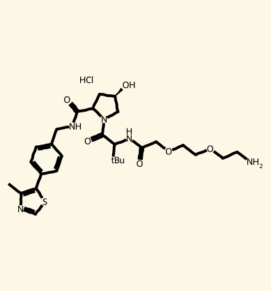 Cc1ncsc1-c1ccc(CNC(=O)C2C[C@@H](O)CN2C(=O)C(NC(=O)COCCOCCN)C(C)(C)C)cc1.Cl